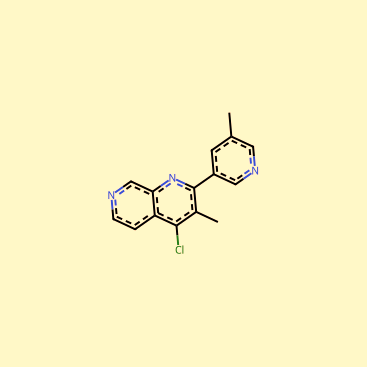 Cc1cncc(-c2nc3cnccc3c(Cl)c2C)c1